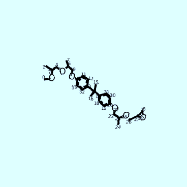 COC(C)COC(C)COc1ccc(C(C)(C)c2ccc(OCC(C)OCC3CO3)cc2)cc1